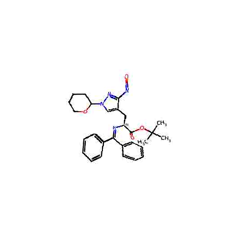 CC(C)(C)OC(=O)[C@H](Cc1cn(C2CCCCO2)nc1N=O)N=C(c1ccccc1)c1ccccc1